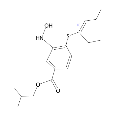 CC/C=C(\CC)Sc1ccc(C(=O)OCC(C)C)cc1NO